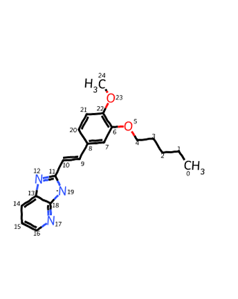 CCCCCOc1cc(C=CC2=Nc3cccnc3[N]2)ccc1OC